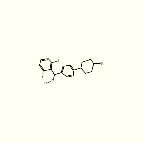 CCOC(c1ccc(C2CCC(CC)CC2)cc1)c1c(F)cccc1F